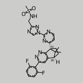 CC1(C)[C@H]2CC[C@]1(c1ccnc(-n3cnc(CNS(C)(=O)=O)n3)n1)c1nnc(-c3c(F)cccc3F)cc12